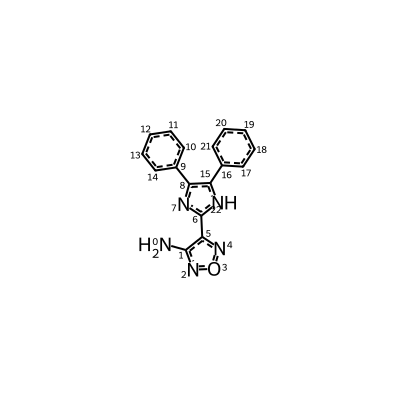 Nc1nonc1-c1nc(-c2ccccc2)c(-c2ccccc2)[nH]1